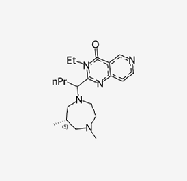 CCCC(c1nc2ccncc2c(=O)n1CC)N1CCN(C)C[C@H](C)C1